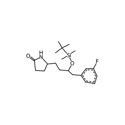 CC(C)(C)[Si](C)(C)OC(CCC1CCC(=O)N1)Cc1cccc(F)c1